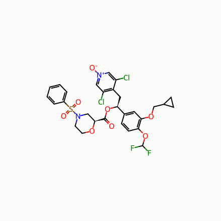 O=C(O[C@@H](Cc1c(Cl)c[n+]([O-])cc1Cl)c1ccc(OC(F)F)c(OCC2CC2)c1)[C@@H]1CN(S(=O)(=O)c2ccccc2)CCO1